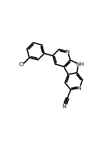 N#Cc1cc2c(cn1)[nH]c1ncc(-c3cccc(Cl)c3)cc12